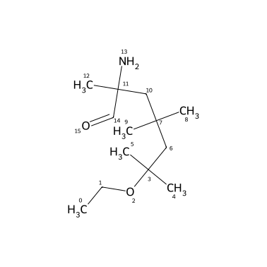 CCOC(C)(C)CC(C)(C)CC(C)(N)C=O